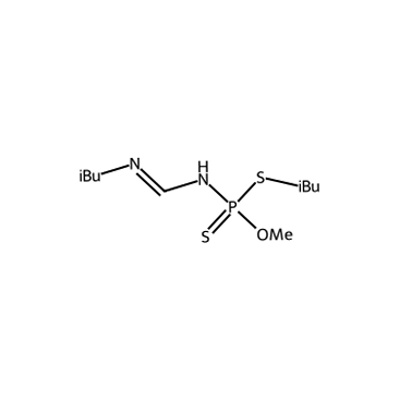 CCC(C)N=CNP(=S)(OC)SC(C)CC